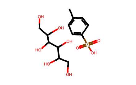 Cc1ccc(S(=O)(=O)O)cc1.OCC(O)C(O)C(O)C(O)CO